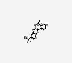 CCN(CC)c1ccc2nc3c4cccnc4c(=O)cc-3oc2c1